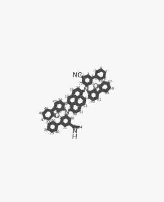 N#Cc1cc(C2=CCCC=C2)cc(N(c2ccc3ccc4c(N(c5cc(-c6ccccc6)cc(C6CN6)c5)c5cccc6c7c(oc56)CCC=C7)ccc5ccc2c3c54)c2cccc3c2oc2ccccc23)c1